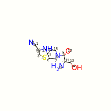 N#C[C@@H]1CSC2(CCN(C(=O)[C@@H](N)CO)CC2)N1